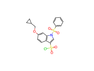 O=S(=O)(Cl)c1cn(S(=O)(=O)c2ccccc2)c2cc(OCC3CC3)ccc12